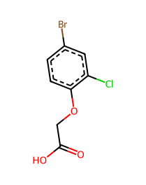 O=C(O)COc1ccc(Br)cc1Cl